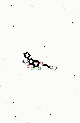 CC1(C2CCCC2)Cc2cc(OCCCC(=O)O)c(Cl)c(Cl)c2C1=O